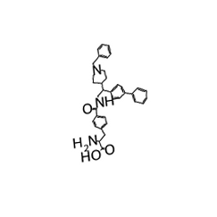 NC(Cc1ccc(C(=O)NCC(c2ccc(-c3ccccc3)cc2)C2CCN(Cc3ccccc3)CC2)cc1)C(=O)O